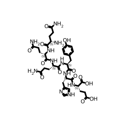 NC(=O)CC[C@H](NC(=O)[C@H](CCC(N)=O)NC(=O)[C@@H](N)CCC(N)=O)C(=O)N[C@@H](Cc1ccc(O)cc1)C(=O)N[C@@H](Cc1c[nH]cn1)C(=O)N[C@@H](CCC(=O)O)C(=O)O